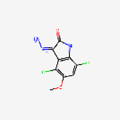 COc1cc(Cl)c2c(c1Cl)/C(=N/N)C(=O)N2